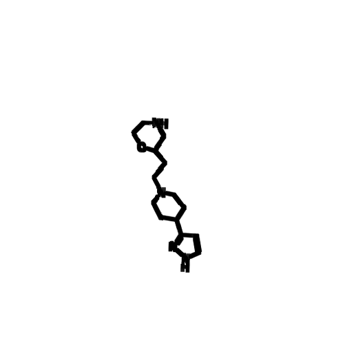 c1cc(C2CCN(CCC3CNCCO3)CC2)n[nH]1